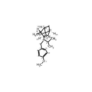 COc1ccc(CN(C(C)C)[C@@H]2C[C@@H]3C[C@H]([C@H]2C)C3(C)C)cc1